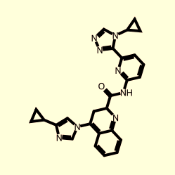 O=C(Nc1cccc(-c2nncn2C2CC2)n1)C1CC(n2cnc(C3CC3)c2)=c2ccccc2=N1